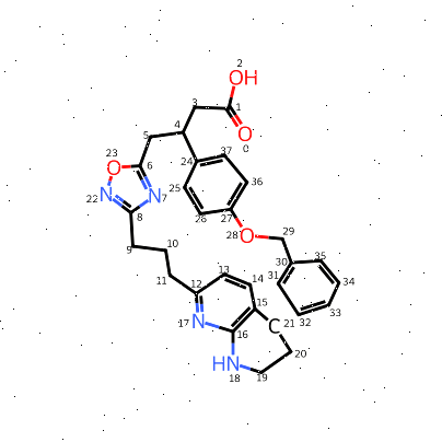 O=C(O)CC(Cc1nc(CCCc2ccc3c(n2)NCCC3)no1)c1ccc(OCc2ccccc2)cc1